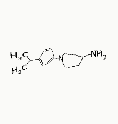 CC(C)c1ccc(N2CCC(N)CC2)cc1